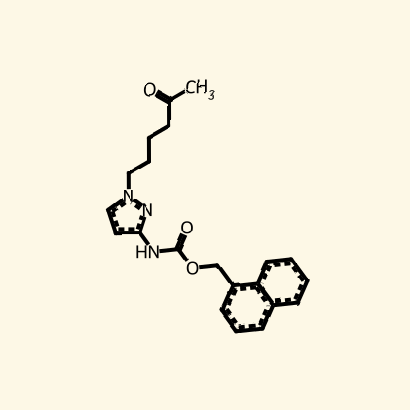 CC(=O)CCCCn1ccc(NC(=O)OCc2cccc3ccccc23)n1